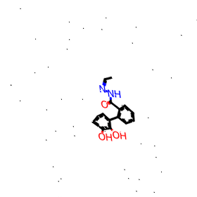 C/C=N\NC(=O)c1ccccc1-c1cccc(O)c1O